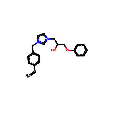 C=Cc1ccc(C[n+]2ccn(CC(O)COc3ccccc3)c2)cc1